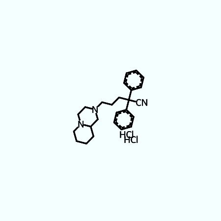 Cl.Cl.N#CC(CCCN1CCN2CCCCC2C1)(c1ccccc1)c1ccccc1